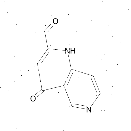 O=Cc1cc(=O)c2cnccc2[nH]1